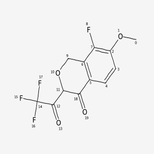 COc1ccc2c(c1F)COC(C(=O)C(F)(F)F)C2=O